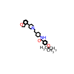 CC(C)(C)Oc1ccc(C(=O)NC2CCC(CCN3CCC(c4cccc5c4CCO5)CC3)CC2)cc1